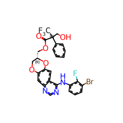 O=C(OC[C@H]1COc2cc3ncnc(Nc4cccc(Br)c4F)c3cc2O1)[C@](CO)(c1ccccc1)C(F)(F)F